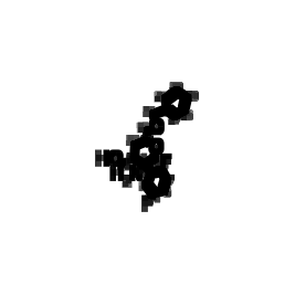 N[C@@]1(c2cc(F)ccc2F)CO[C@@H](COCc2ccccc2)C[C@H]1CO